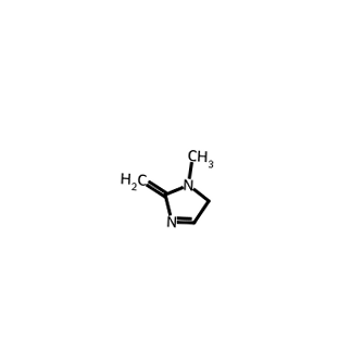 C=C1N=CCN1C